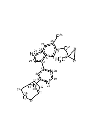 CC1(Oc2cc3c(-c4cc(N5C6CCC5COC6)ncn4)n[nH]c3cc2F)CC1